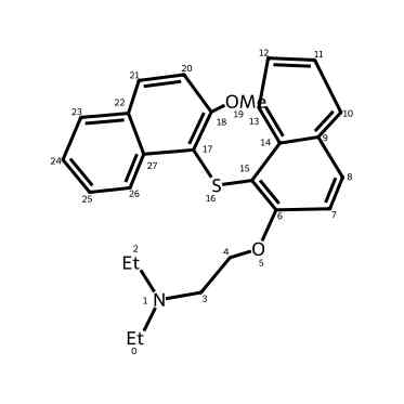 CCN(CC)CCOc1ccc2ccccc2c1Sc1c(OC)ccc2ccccc12